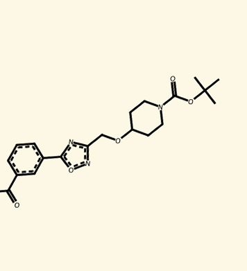 CC(=O)c1cccc(-c2nc(COC3CCN(C(=O)OC(C)(C)C)CC3)no2)c1